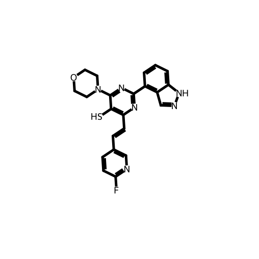 Fc1ccc(/C=C/c2nc(-c3cccc4[nH]ncc34)nc(N3CCOCC3)c2S)cn1